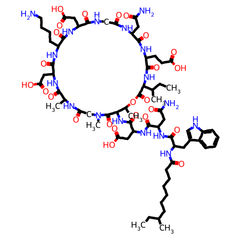 CCC(C)CCCCCCC(=O)NC(Cc1c[nH]c2ccccc12)C(=O)NC(CC(N)=O)C(=O)NC(CC(=O)O)C(=O)NC1C(=O)N(C)CC(=O)NC(C)C(=O)NC(CC(=O)O)C(=O)NC(CCCCN)C(=O)NC(CC(=O)O)C(=O)NCC(=O)NC(CC(N)=O)C(=O)NC(CCC(=O)O)C(=O)NC(C(C)CC)C(=O)OC1C